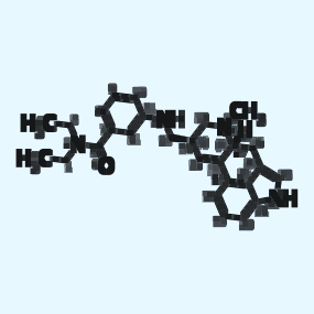 CCN(CC)C(=O)c1cccc(NC[C@@H]2C=C3c4cccc5[nH]cc(c45)C[C@H]3N(C)C2)c1